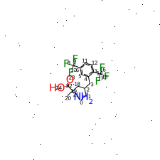 CCC(Cc1cc(C(F)(F)F)ccc1C(F)(F)F)CC(C)(N)C(=O)O